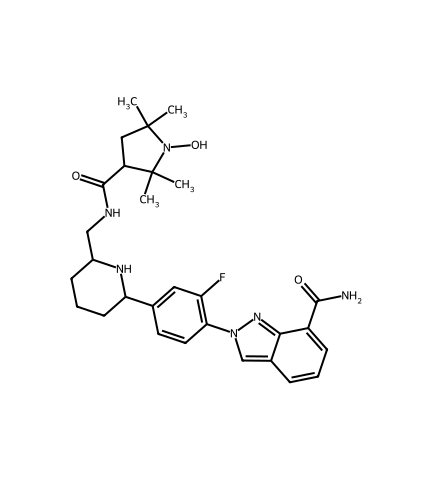 CC1(C)CC(C(=O)NCC2CCCC(c3ccc(-n4cc5cccc(C(N)=O)c5n4)c(F)c3)N2)C(C)(C)N1O